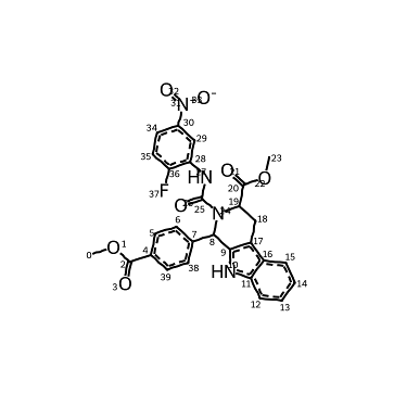 COC(=O)c1ccc(C2c3[nH]c4ccccc4c3CC(C(=O)OC)N2C(=O)Nc2cc([N+](=O)[O-])ccc2F)cc1